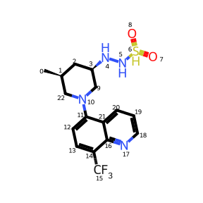 C[C@H]1C[C@@H](NN[SH](=O)=O)CN(c2ccc(C(F)(F)F)c3ncccc23)C1